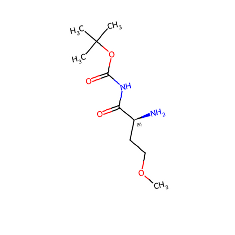 COCC[C@H](N)C(=O)NC(=O)OC(C)(C)C